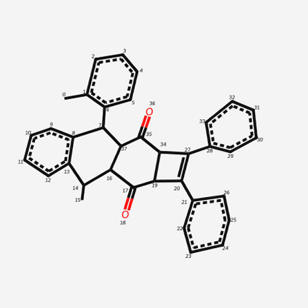 Cc1ccccc1C1c2ccccc2C(C)C2C(=O)C3C(c4ccccc4)=C(c4ccccc4)C3C(=O)C12